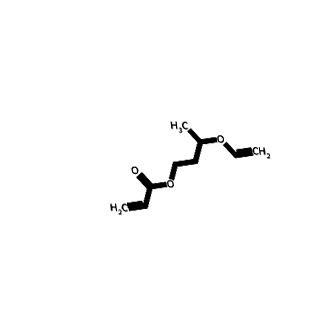 C=COC(C)CCOC(=O)C=C